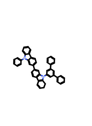 C1=Cc2c(n(-c3cc(-c4ccccc4)cc(-c4ccccc4)c3)c3cc(-c4ccc5c6ccccc6n(-c6ccccc6)c5c4)ccc23)CC1